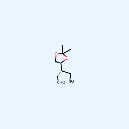 CC1(C)OC[C@H]([C@@H](CC=O)CN=O)O1